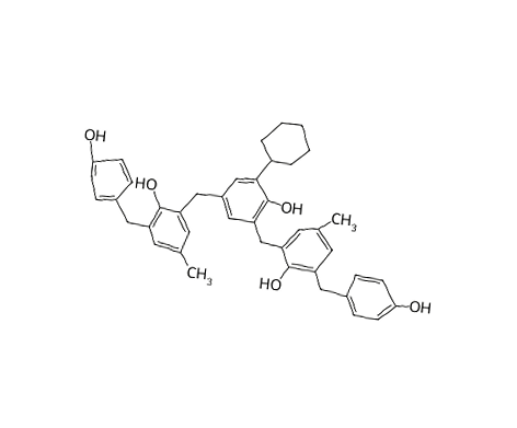 Cc1cc(Cc2ccc(O)cc2)c(O)c(Cc2cc(Cc3cc(C)cc(Cc4ccc(O)cc4)c3O)c(O)c(C3CCCCC3)c2)c1